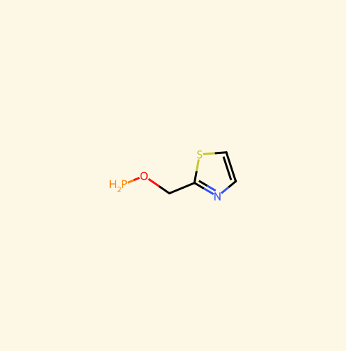 POCc1nccs1